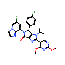 COc1ncc(-c2nc3c(n2C(C)C)[C@H](c2ccc(Cl)cc2)N(c2cc(Cl)cn4ccnc24)C3=O)c(OC)n1